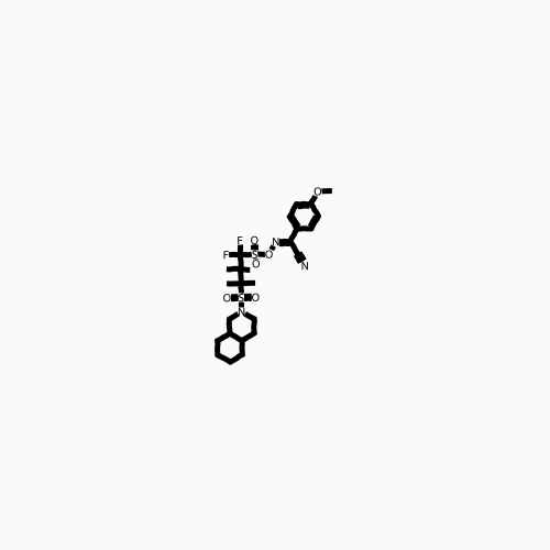 COc1ccc(C(C#N)=NOS(=O)(=O)C(F)(F)C(C)(C)C(C)(C)S(=O)(=O)N2CCC3CCCCC3C2)cc1